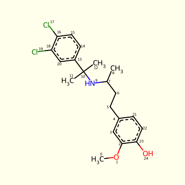 COc1cc(CCC(C)NC(C)(C)c2ccc(Cl)c(Cl)c2)ccc1O